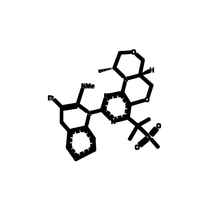 CCC1=C(NC)N(c2nc3c(c(C(C)(C)S(C)(=O)=O)n2)OC[C@H]2COC[C@@H](C)N32)c2ccccc2C1